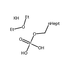 CCCCCCCCOP(=O)(O)O.CCOCC.[KH]